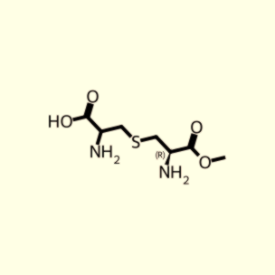 COC(=O)[C@@H](N)CSCC(N)C(=O)O